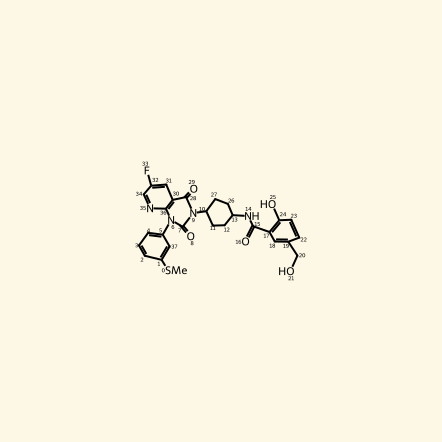 CSc1cccc(-n2c(=O)n(C3CCC(NC(=O)c4cc(CO)ccc4O)CC3)c(=O)c3cc(F)cnc32)c1